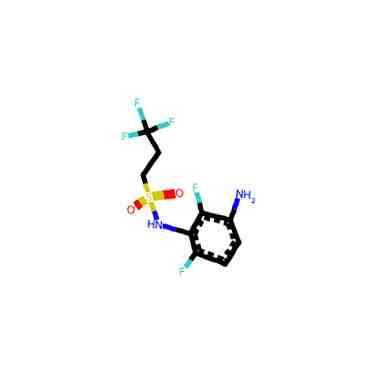 Nc1ccc(F)c(NS(=O)(=O)CCC(F)(F)F)c1F